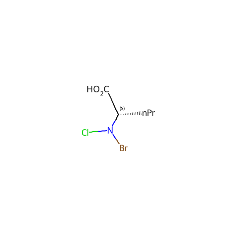 CCC[C@@H](C(=O)O)N(Cl)Br